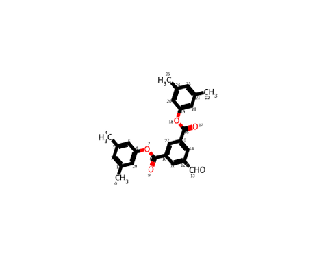 Cc1cc(C)cc(OC(=O)c2cc(C=O)cc(C(=O)Oc3cc(C)cc(C)c3)c2)c1